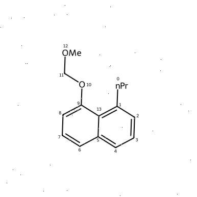 CCCc1cccc2cccc(OCOC)c12